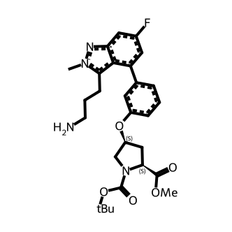 COC(=O)[C@@H]1C[C@H](Oc2cccc(-c3cc(F)cc4nn(C)c(CCCN)c34)c2)CN1C(=O)OC(C)(C)C